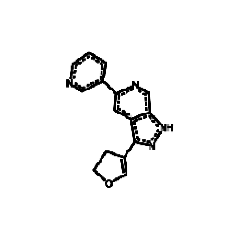 C1=C(c2n[nH]c3cnc(-c4cccnc4)cc23)CCO1